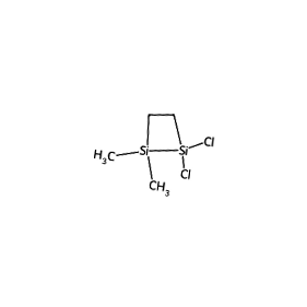 C[Si]1(C)CC[Si]1(Cl)Cl